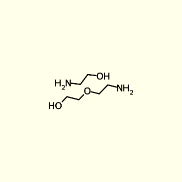 NCCO.NCCOCCO